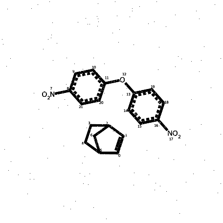 C1=CC2CCC1C2.O=[N+]([O-])c1ccc(Oc2ccc([N+](=O)[O-])cc2)cc1